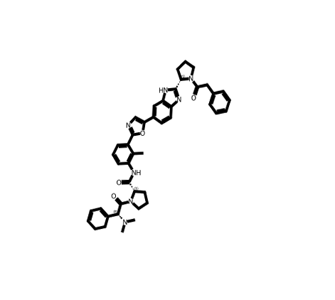 Cc1c(NC(=O)[C@@H]2CCCN2C(=O)[C@@H](C2=CC=CCC2)N(C)C)cccc1-c1ncc(-c2ccc3nc([C@@H]4CCCN4C(=O)Cc4ccccc4)[nH]c3c2)o1